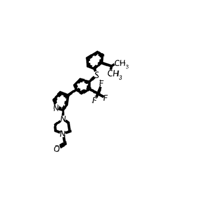 CC(C)c1ccccc1Sc1ccc(-c2ccnc(N3CCN(C=O)CC3)c2)cc1C(F)(F)F